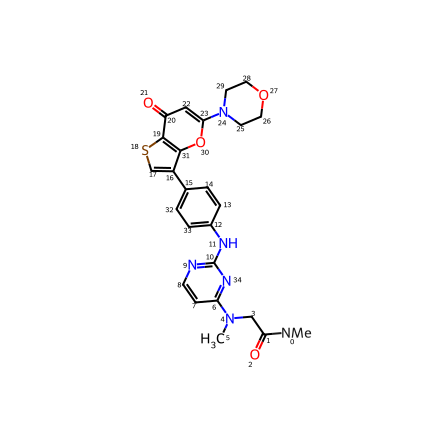 CNC(=O)CN(C)c1ccnc(Nc2ccc(-c3csc4c(=O)cc(N5CCOCC5)oc34)cc2)n1